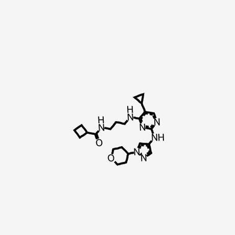 O=C(NCCCNc1nc(Nc2cnn(C3CCOCC3)c2)ncc1C1CC1)C1CCC1